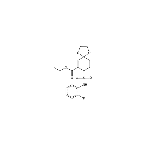 CCOC(=O)C1=CC2(CCC1S(=O)(=O)Nc1ccccc1F)OCCO2